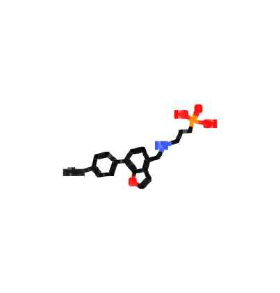 CCCCCCc1ccc(-c2ccc(CNCCCP(=O)(O)O)c3ccoc23)cc1